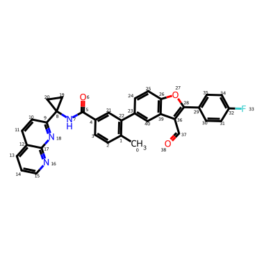 Cc1ccc(C(=O)NC2(c3ccc4cccnc4n3)CC2)cc1-c1ccc2oc(-c3ccc(F)cc3)c(C=O)c2c1